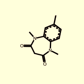 Cc1ccc2c(c1)N(C)C(=O)CC(=O)N2C